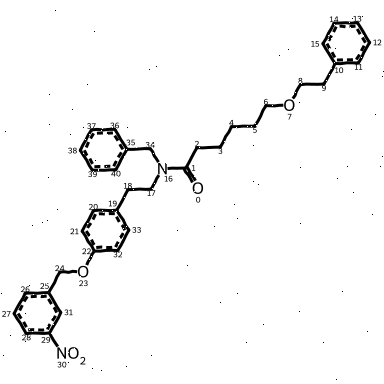 O=C(CCCCCOCCc1ccccc1)N(CCc1ccc(OCc2cccc([N+](=O)[O-])c2)cc1)Cc1ccccc1